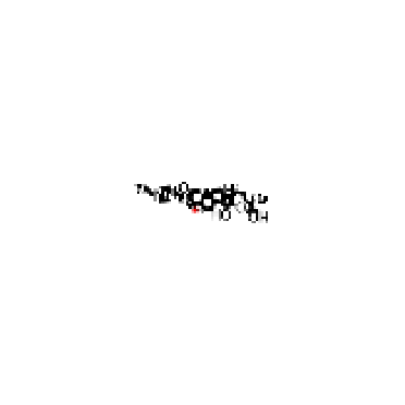 CCO[C@@H](C1C[C@@H](C)[C@H]2C(O1)[C@H](O)[C@@]1(C)C3CC[C@H]4C(C)(C)[C@@H](OC(=O)N5CCN(CCOC)CC5)CC[C@@]45CC35CC[C@]21C)C(C)(C)O